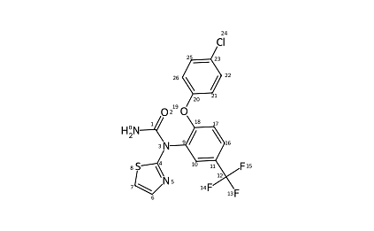 NC(=O)N(c1nccs1)c1cc(C(F)(F)F)ccc1Oc1ccc(Cl)cc1